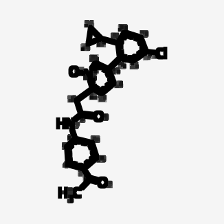 CC(=O)c1ccc(NC(=O)Cc2ccc(-c3cc(Cl)ccc3C3CC3)c[n+]2[O-])cc1